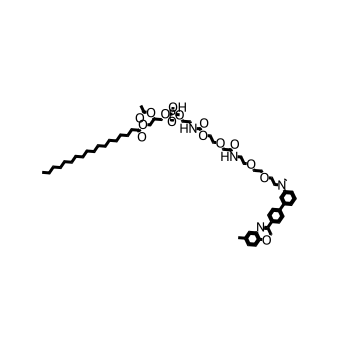 CCCCCCCCCCCCCCCCCC(=O)OCC(COP(=O)(O)OCCNC(=O)OCCOCC(=O)NCCOCCOCCN(C)c1cccc(-c2ccc(C3=Nc4cc(C)ccc4OC3)cc2)c1)OC(C)=O